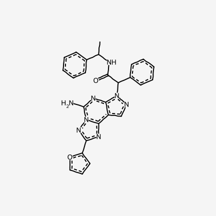 CC(NC(=O)C(c1ccccc1)n1ncc2c1nc(N)n1nc(-c3ccco3)nc21)c1ccccc1